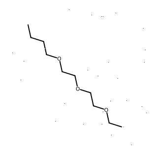 [CH2]COCCOCCOCCCC